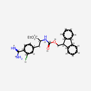 CCOC(=O)C(Cc1ccc(C(=N)N)c(F)c1)NC(=O)OCC1c2ccccc2-c2ccccc21